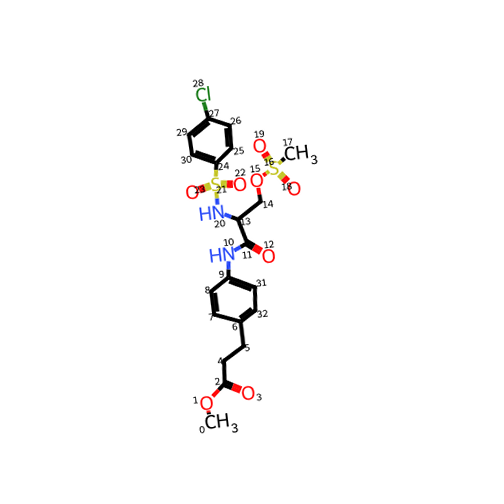 COC(=O)CCc1ccc(NC(=O)C(COS(C)(=O)=O)NS(=O)(=O)c2ccc(Cl)cc2)cc1